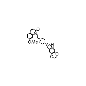 COc1ccc2ccc(=O)n(CCN3CCC([AsH]Cc4cc5c(cn4)OCCO5)CC3)c2c1